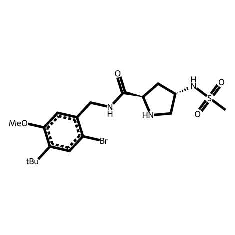 COc1cc(CNC(=O)[C@H]2C[C@H](NS(C)(=O)=O)CN2)c(Br)cc1C(C)(C)C